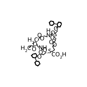 C=CC(=O)OCCNC(=O)OC(COc1ccccc1-c1ccccc1)CSCC(=O)OCCC(SC[C@H](CCOc1ccccc1-c1ccccc1)OC(=O)NCCOC(=O)C=C)C(=O)O